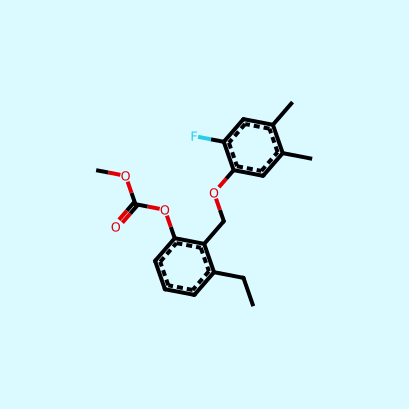 CCc1cccc(OC(=O)OC)c1COc1cc(C)c(C)cc1F